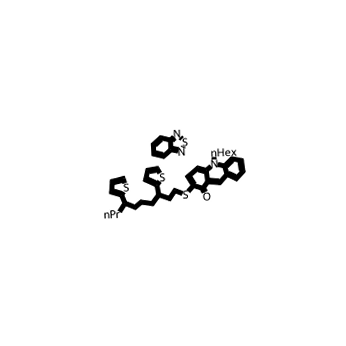 CCCCCCn1c2ccc(SCCC(CCCC(CCC)c3cccs3)c3cccs3)c(=O)c-2cc2ccccc21.c1ccc2nsnc2c1